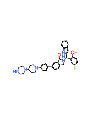 O=C1c2cc(-c3ccc(N4CCC(N5CCNCC5)CC4)cc3)ccc2CN1C(c1cc2ccccc2[nH]1)c1cc(F)ccc1O